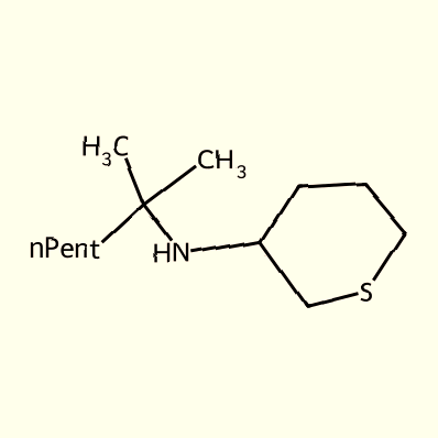 CCCCCC(C)(C)NC1CCCSC1